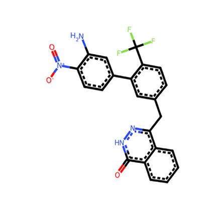 Nc1cc(-c2cc(Cc3n[nH]c(=O)c4ccccc34)ccc2C(F)(F)F)ccc1[N+](=O)[O-]